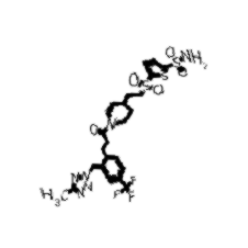 Cc1nnn(Cc2cc(C(F)(F)F)ccc2CCC(=O)N2CCC(CCS(=O)(=O)c3ccc(S(N)(=O)=O)s3)CC2)n1